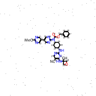 COc1ncc(-c2cnc(N(C(=O)OCc3ccccc3)[C@H]3CC[C@H](Nc4ncc(C#N)c(NC5(C)COC5)n4)CC3)nc2)cn1